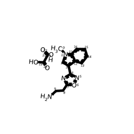 Cn1cc(-c2noc(CCN)n2)c2ccccc21.O=C(O)C(=O)O